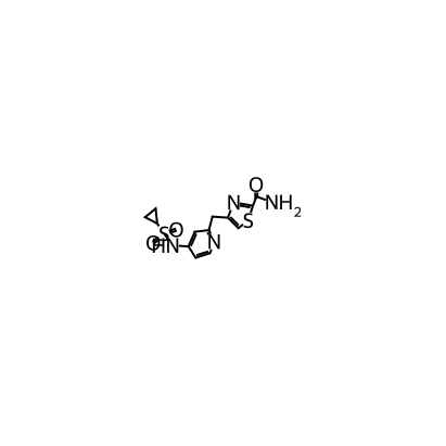 NC(=O)c1nc(Cc2cc(NS(=O)(=O)C3CC3)ccn2)cs1